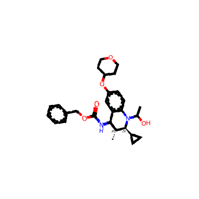 CC(O)N1c2ccc(OC3CCOCC3)cc2C(NC(=O)OCc2ccccc2)[C@@H](C)[C@@H]1C1CC1